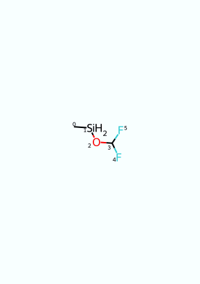 C[SiH2]OC(F)F